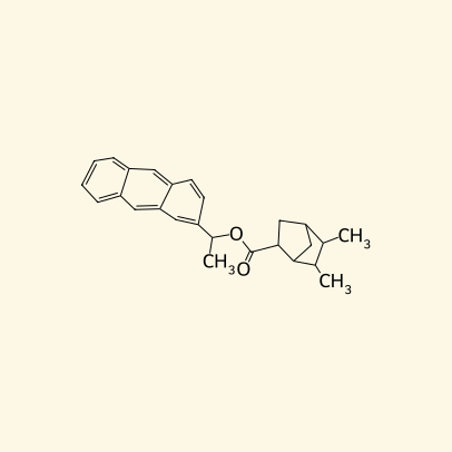 CC(OC(=O)C1CC2CC1C(C)C2C)c1ccc2cc3ccccc3cc2c1